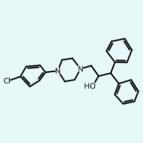 OC(CN1CCN(c2ccc(Cl)cc2)CC1)C(c1ccccc1)c1ccccc1